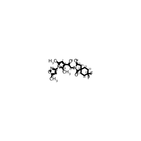 Cc1cc(-n2c(C)cc(C(=O)CN3C(=O)CC4(CCC(F)(F)CC4)C3=O)c2C)no1